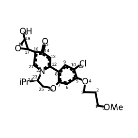 COCCCOc1cc2c(cc1Cl)-c1cc(=O)c(C3OC3O)cn1[C@H](C(C)C)CO2